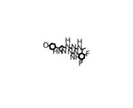 COc1ccc(-c2cc(Nc3nc(N)nc(NC(C)c4ccc(F)cc4F)n3)n[nH]2)cc1